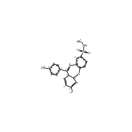 CCCCNS(=O)(=O)c1ccc2c(c1)N=C(c1ccc(Cl)cc1)C1C=CC(F)=CC1S2